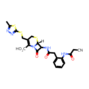 Cc1nnc(SCC2=C(C(=O)O)N3C(=O)C(NC(=O)Cc4ccccc4NC(=O)CC#N)[C@H]3SC2)s1